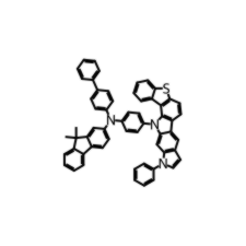 CC1(C)c2ccccc2-c2ccc(N(c3ccc(-c4ccccc4)cc3)c3ccc(-n4c5cc6c(ccn6-c6ccccc6)cc5c5ccc6sc7ccccc7c6c54)cc3)cc21